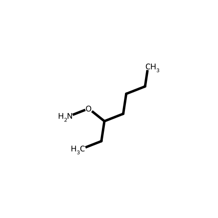 CCCCC(CC)ON